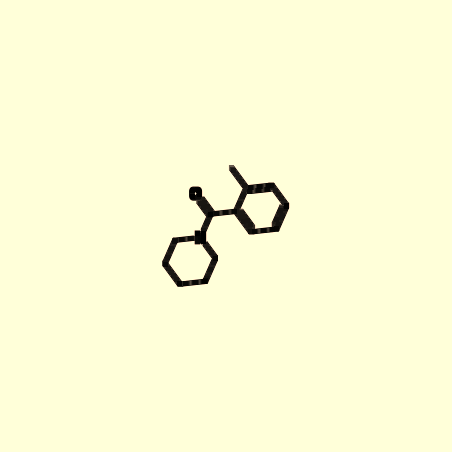 Cc1ccccc1C(=O)N1CCCCC1